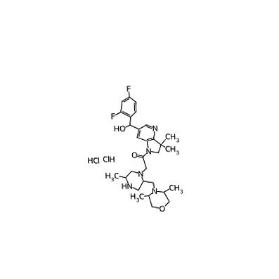 CC1CN(CC(=O)N2CC(C)(C)c3ncc(C(O)c4ccc(F)cc4F)cc32)C(CN2C(C)COCC2C)CN1.Cl.Cl